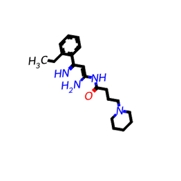 CCc1ccccc1C(=N)/C=C(\N)NC(=O)CCCN1CCCCC1